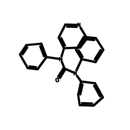 O=C(N(c1ccccc1)c1ccccc1)N(c1ccccc1)c1ccncc1